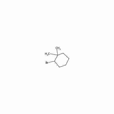 CC1(C)CCCCC1Br